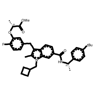 COC(=O)[C@@H](C)Oc1cc(Cc2c(C)n(CC3CCC3)c3cc(C(=O)N[C@@H](C)c4ccc(C(C)(C)C)cc4)ccc23)ccc1F